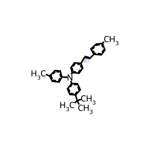 Cc1ccc(/C=C/c2ccc(N(c3ccc(C)cc3)c3ccc(C(C)(C)C)cc3)cc2)cc1